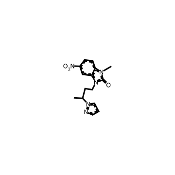 CC(CCn1c(=O)n(C)c2ccc([N+](=O)[O-])cc21)n1cccn1